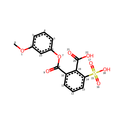 COc1cccc(OC(=O)c2cccc(S(=O)(=O)O)c2C(=O)O)c1